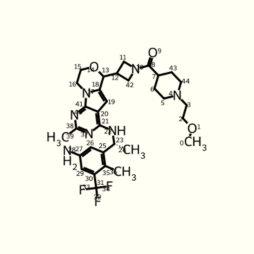 COCCN1CCC(C(=O)N2CC(C3OCCn4c3cc3c(N[C@H](C)c5cc(N)cc(C(F)(F)F)c5C)nc(C)nc34)C2)CC1